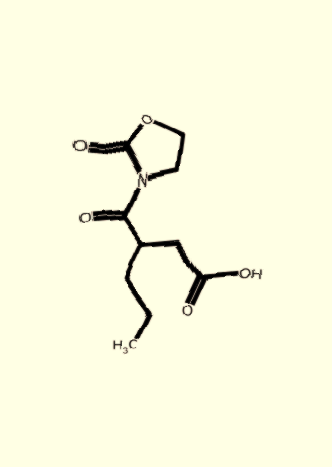 CCCC(CC(=O)O)C(=O)N1CCOC1=O